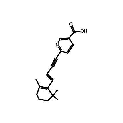 CC1=C(/C=C/C#Cc2ccc(C(=O)O)cn2)C(C)(C)CCC1